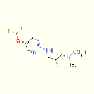 CC(CNc1ncc(OC(F)F)cn1)CN(C(=O)O)C(C)(C)C